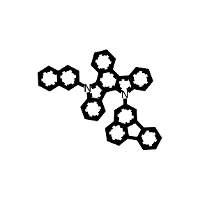 c1ccc2c(c1)-c1cccc3cc(-n4c5ccccc5c5c6ccccc6c6c(c7ccccc7n6-c6ccc7ccccc7c6)c54)cc-2c13